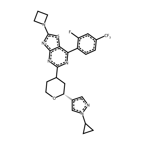 Fc1cc(C(F)(F)F)ccc1-c1nc(C2CCO[C@@H](c3cnn(C4CC4)c3)C2)nc2nc(N3CCC3)sc12